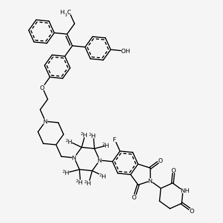 [2H]C1([2H])N(CC2CCN(CCOc3ccc(C(=C(CC)c4ccccc4)c4ccc(O)cc4)cc3)CC2)C([2H])([2H])C([2H])([2H])N(c2cc3c(cc2F)C(=O)N(C2CCC(=O)NC2=O)C3=O)C1([2H])[2H]